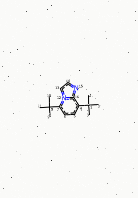 CC(C)(C)c1ccc(C(C)(C)C)n2ccnc12